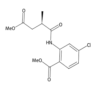 COC(=O)C[C@@H](C)C(=O)Nc1cc(Cl)ccc1C(=O)OC